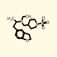 CCN(CC1CCN(S(=O)(=O)Cl)CC1)C(C)Cc1ccc2c(c1)CCO2